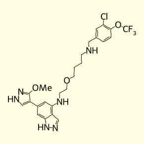 COc1n[nH]cc1-c1cc(NCCOCCCCNCc2ccc(OC(F)(F)F)c(Cl)c2)c2cn[nH]c2c1